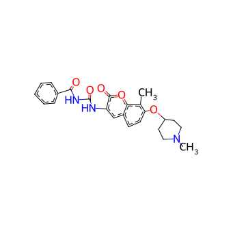 Cc1c(OC2CCN(C)CC2)ccc2cc(NC(=O)NC(=O)c3ccccc3)c(=O)oc12